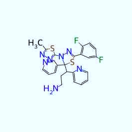 Cc1nnc(N2N=C(c3cc(F)ccc3F)SC2(c2cccnc2)C(CCN)c2ccccn2)s1